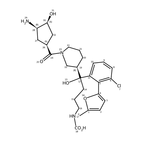 Cc1ccc(-c2c(Cl)cccc2C(O)(CCCNC(=O)O)[C@@H]2CCCN(C(=O)[C@H]3C[C@@H](N)[C@@H](O)C3)C2)o1